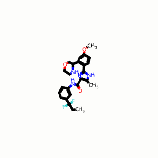 CCC(F)(F)c1cccc(NC(=O)c2nc(-c3ccc(OC)cc3C3COCCN3)[nH]c2C)c1